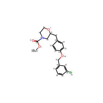 CC(C)(C)OC(=O)N1CCOC(Cc2ccc(OCc3cccc(Br)c3)cc2)C1